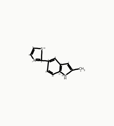 Cc1cc2cc(-c3nccs3)ccc2[nH]1